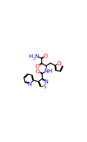 NC(=O)C(=O)C(Cc1ccco1)NC(=O)c1nscc1-c1ccccn1